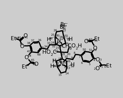 CCC(=O)Oc1ccc(CCC[N+]2(C)[C@@H]3CC[C@H]2CC(C(CC(=O)O)(C(=O)O)C2C[C@H]4CC[C@@H](C2)[N+]4(C)CCCc2ccc(OC(=O)CC)c(OC(=O)CC)c2)C3)cc1OC(=O)CC.[Br-].[Br-]